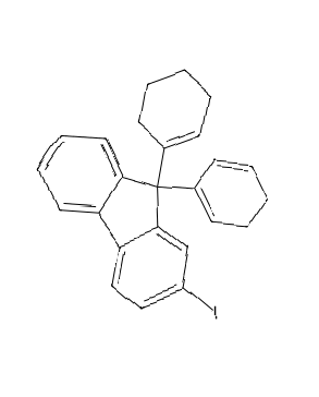 Ic1ccc2c(c1)C(C1=CCCC=C1)(C1=CCCCC1)c1ccccc1-2